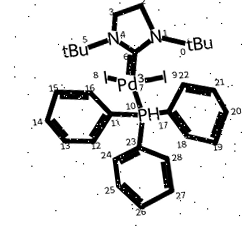 CC(C)(C)N1CCN(C(C)(C)C)[C]1=[Pd-3]([I])([I])[PH](c1ccccc1)(c1ccccc1)c1ccccc1